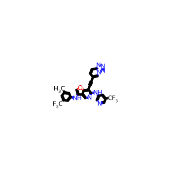 Cc1cc(Nc2coc3c(C#Cc4ccc5nnnn5c4)c(Nc4cncc(C(F)(F)F)c4)ncc23)cc(C(F)(F)F)c1